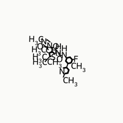 CCc1ccc(-c2cc(NC(=O)Nc3sc(C(C)(C)C)cc3C(=O)N3CCN(C)C(=O)C3(C)C)cc(F)c2C)cn1